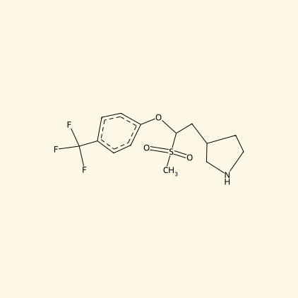 CS(=O)(=O)C(CC1CCNC1)Oc1ccc(C(F)(F)F)cc1